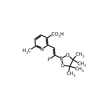 Cc1ccc(C(=O)O)c(/C=C(\F)B2OC(C)(C)C(C)(C)O2)n1